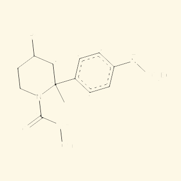 CCOC(=O)Nc1ccc(C2(C)CC(Br)CCN2C(=O)OC(C)(C)C)cc1